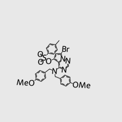 COc1ccc(CN(Cc2ccc(OC)cc2)c2ncnn3c(Br)cc(OS(=O)(=O)c4ccc(C)cc4)c23)cc1